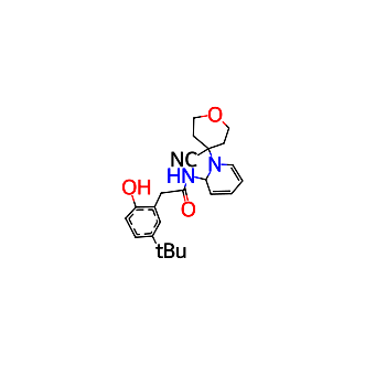 CC(C)(C)c1ccc(O)c(CC(=O)NC2C=CC=CN2C2(C#N)CCOCC2)c1